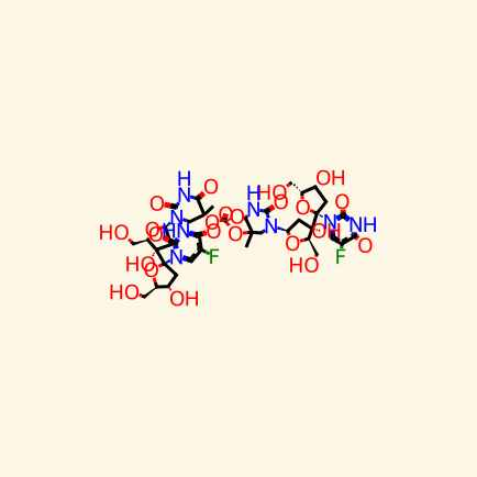 CC1(OC(=O)OC2(C)CN([C@H]3C[C@@](O)([C@]4(n5cc(F)c(=O)[nH]c5=O)C[C@H](O)[C@@H](CO)O4)[C@@H](CO)O3)C(=O)NC2=O)CN([C@H]2C[C@@](O)([C@]3(n4cc(F)c(=O)[nH]c4=O)C[C@H](O)[C@@H](CO)O3)[C@@H](CO)O2)C(=O)NC1=O